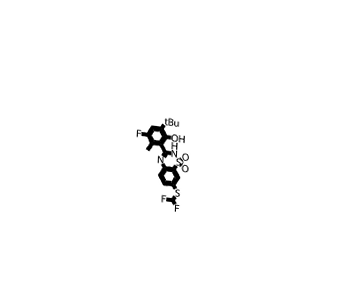 Cc1c(F)cc(C(C)(C)C)c(O)c1C1=Nc2ccc(SC(F)F)cc2S(=O)(=O)N1